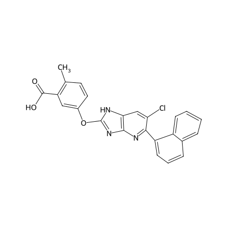 Cc1ccc(Oc2nc3nc(-c4cccc5ccccc45)c(Cl)cc3[nH]2)cc1C(=O)O